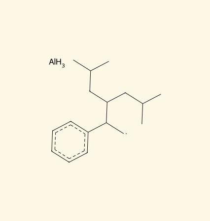 [AlH3].[CH2]C(c1ccccc1)C(CC(C)C)CC(C)C